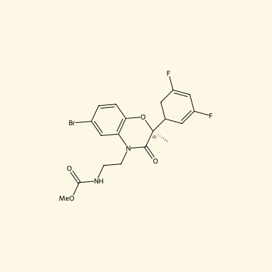 COC(=O)NCCN1C(=O)[C@](C)(C2C=C(F)C=C(F)C2)Oc2ccc(Br)cc21